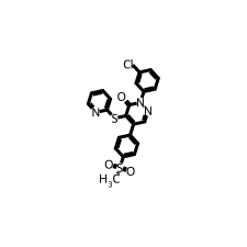 CS(=O)(=O)c1ccc(-c2cnn(-c3cccc(Cl)c3)c(=O)c2Sc2ccccn2)cc1